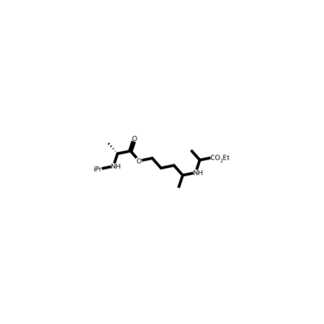 CCOC(=O)C(C)NC(C)CCCOC(=O)[C@@H](C)NC(C)C